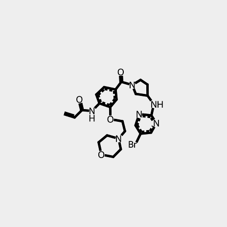 C=CC(=O)Nc1ccc(C(=O)N2CCC(Nc3ncc(Br)cn3)C2)cc1OCCN1CCOCC1